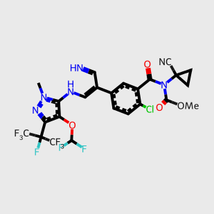 COC(=O)N(C(=O)c1cc(/C(C=N)=C/Nc2c(OC(F)F)c(C(F)(C(F)(F)F)C(F)(F)F)nn2C)ccc1Cl)C1(C#N)CC1